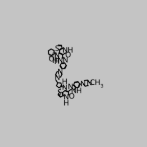 CN1CCN(c2ccc3nc(-c4c(N[C@@H]5CCC(CN6CCN(c7ccc8nc(-c9c(N[C@H]%10CCCC[C@@H]%10O)c%10sccc%10[nH]c9=O)[nH]c8c7)CC6)C5)c5sccc5[nH]c4=O)[nH]c3c2)CC1